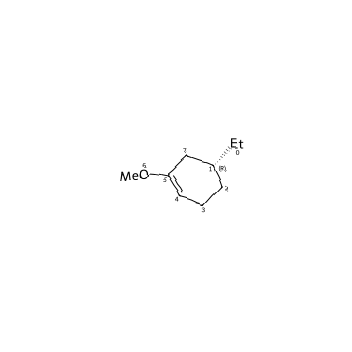 CC[C@@H]1CCC=C(OC)C1